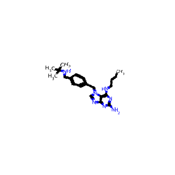 CCCCNc1nc(N)nc2ncn(Cc3ccc(CNC(C)(C)C)cc3)c12